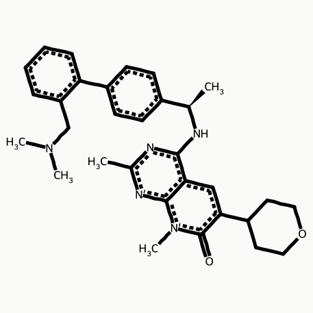 Cc1nc(N[C@H](C)c2ccc(-c3ccccc3CN(C)C)cc2)c2cc(C3CCOCC3)c(=O)n(C)c2n1